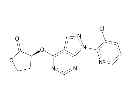 O=C1OCC[C@@H]1Oc1ncnc2c1cnn2-c1ncccc1Cl